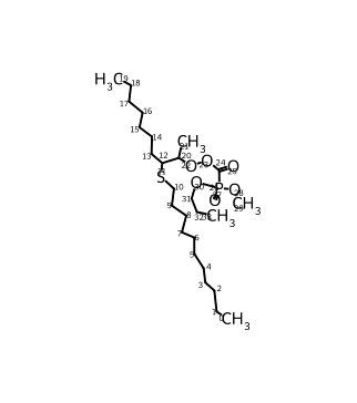 CCCCCCCCCCCSC(CCCCCCC)C(C)OOC(=O)P(=O)(OC)OCCC